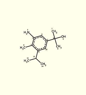 Cc1c(N)cc(C(C)(C)O)cc1C(C)C